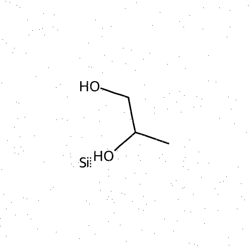 CC(O)CO.[Si]